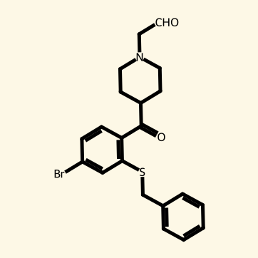 O=CCN1CCC(C(=O)c2ccc(Br)cc2SCc2ccccc2)CC1